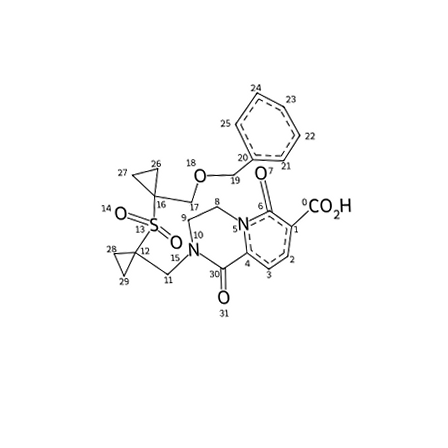 O=C(O)c1ccc2n(c1=O)CCN(CC1(S(=O)(=O)C3(COCc4ccccc4)CC3)CC1)C2=O